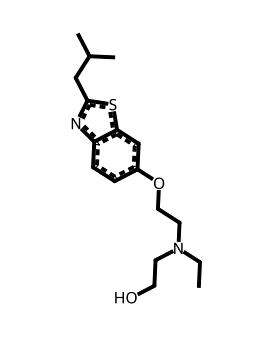 CCN(CCO)CCOc1ccc2nc(CC(C)C)sc2c1